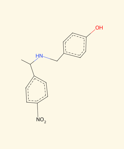 CC(NCc1ccc(O)cc1)c1ccc([N+](=O)[O-])cc1